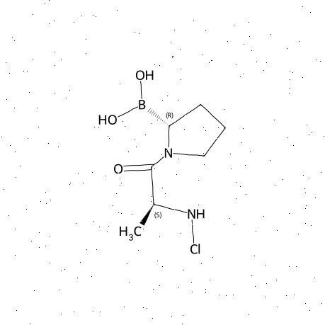 C[C@H](NCl)C(=O)N1CCC[C@H]1B(O)O